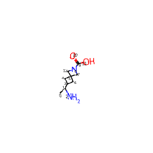 C[C@H](N)C1CC2(C1)CN(C(=O)O)C2